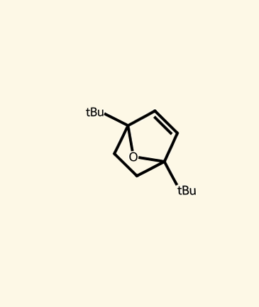 CC(C)(C)C12C=CC(C(C)(C)C)(CC1)O2